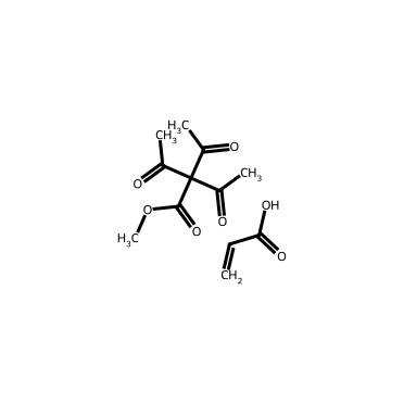 C=CC(=O)O.COC(=O)C(C(C)=O)(C(C)=O)C(C)=O